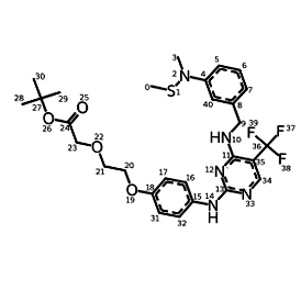 CSN(C)c1cccc(CNc2nc(Nc3ccc(OCCOCC(=O)OC(C)(C)C)cc3)ncc2C(F)(F)F)c1